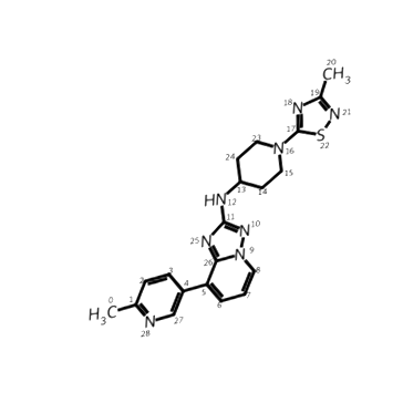 Cc1ccc(-c2cccn3nc(NC4CCN(c5nc(C)ns5)CC4)nc23)cn1